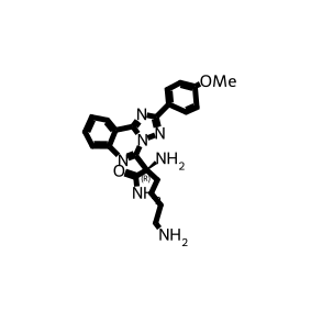 COc1ccc(-c2nc3c4ccccc4nc([C@](N)(CCCCN)C(N)=O)n3n2)cc1